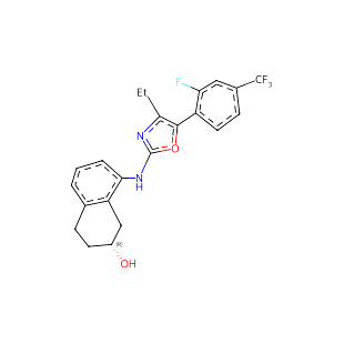 CCc1nc(Nc2cccc3c2C[C@H](O)CC3)oc1-c1ccc(C(F)(F)F)cc1F